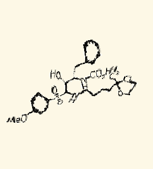 COc1ccc(S(=O)(=O)C(NCCCCC2(C)OCCO2)[C@H](O)[C@H](Cc2ccccc2)NC(=O)O)cc1